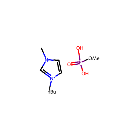 CCCC[n+]1ccn(C)c1.COP(=O)(O)O